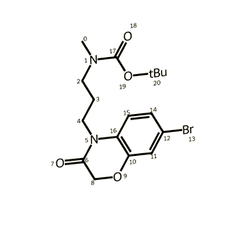 CN(CCCN1C(=O)COc2cc(Br)ccc21)C(=O)OC(C)(C)C